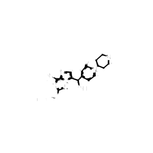 CCCC(C)Oc1nc(N)c2ncc(C(O)c3ccn(C4CCNCC4)c(=O)c3)n2n1